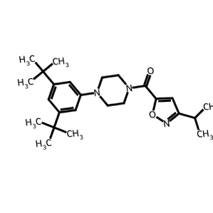 CC(C)c1cc(C(=O)N2CCN(c3cc(C(C)(C)C)cc(C(C)(C)C)c3)CC2)on1